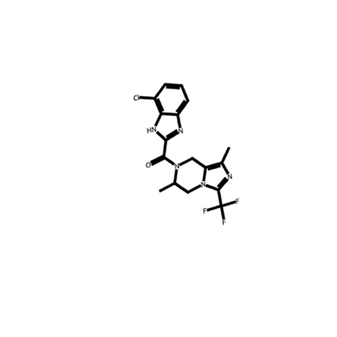 Cc1nc(C(F)(F)F)n2c1CN(C(=O)c1nc3cccc(Cl)c3[nH]1)C(C)C2